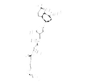 CC(=O)Nc1ccc(OCC(O)CNCCNC(=O)CCCO[N+](=O)[O-])c2c1NC(=O)CC2